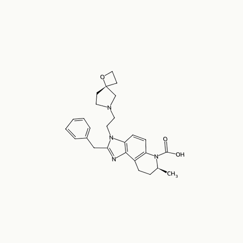 C[C@H]1CCc2c(ccc3c2nc(Cc2ccccc2)n3CCN2CC[C@@]3(CCO3)C2)N1C(=O)O